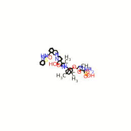 Cc1c(-c2ccc(N3CCc4cccc(C(=O)Nc5nc6ccccc6s5)c4C3)nc2C(=O)O)cnn1CC12CC3(C)CC(C)(C1)CC(OCCN(C)C(=O)[C@@H](N)CS(=O)(=O)O)(C3)C2